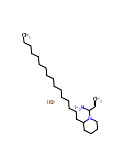 Br.C=CC(N)N1CCCCC1CCCCCCCCCCCCCCCC